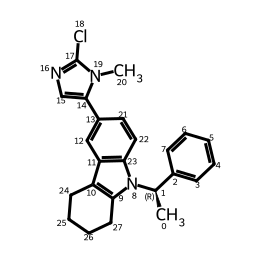 C[C@H](c1ccccc1)n1c2c(c3cc(-c4cnc(Cl)n4C)ccc31)CCCC2